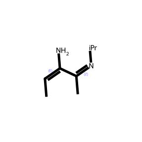 C/C=C(N)\C(C)=N/C(C)C